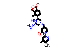 Cc1cc(-n2ccc(CN3C[C@@H](c4ccc5c(c4C)COC5=O)N[C@@H](N)C3)cc2=O)ncc1C#N